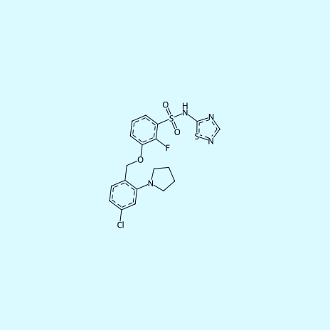 O=S(=O)(Nc1ncns1)c1cccc(OCc2ccc(Cl)cc2N2CCCC2)c1F